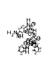 C[C@]1(c2ccc(C(=N)N)cc2)NC(=O)N(CC(=O)N[C@@H](CS(=O)(=O)NC(=O)Nc2ccccc2)C(=O)OCc2ccccc2)C1=O